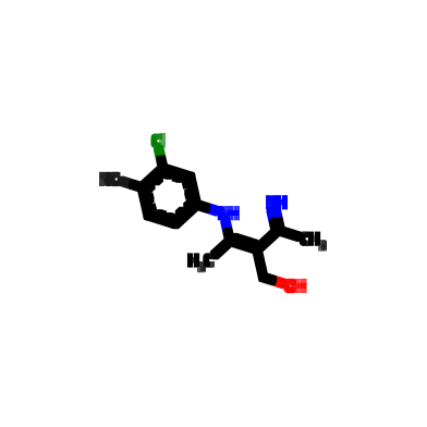 CC(=N)/C(CO)=C(/C)Nc1ccc(C#N)c(Cl)c1